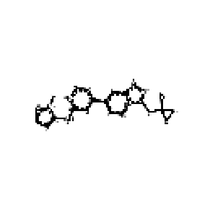 CCC1(Cc2nnc3cc(-c4ccnc(Nc5ccnn5C)c4)ccn23)CC1